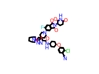 N#Cc1ccc(O[C@H]2CC[C@H](NC(=O)c3ccc(N4C5CCC4CN(CC4CCN(c6cc7c(cc6F)C(=O)N(C6CCC(=O)NC6=O)C7=O)CC4)C5)nn3)CC2)cc1Cl